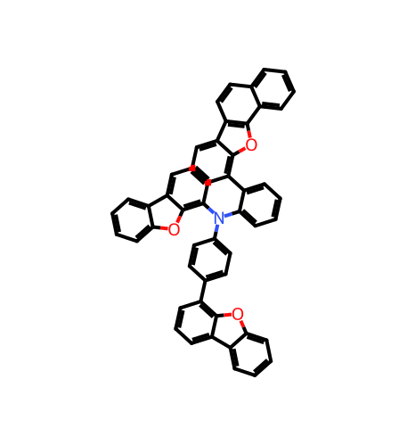 c1ccc(N(c2ccc(-c3cccc4c3oc3ccccc34)cc2)c2cccc3c2oc2ccccc23)c(-c2cccc3c2oc2c4ccccc4ccc32)c1